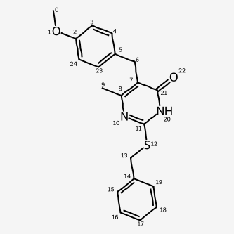 COc1ccc(Cc2c(C)nc(SCc3ccccc3)[nH]c2=O)cc1